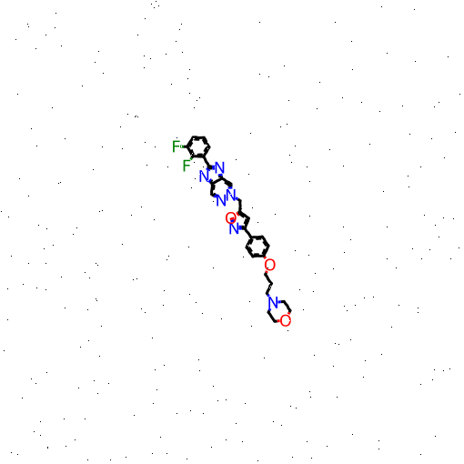 Fc1cccc(-c2nc3cnn(Cc4cc(-c5ccc(OCCCN6CCOCC6)cc5)no4)cc-3n2)c1F